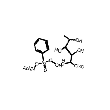 CC(=O)NO[As](=O)(OO)c1ccccc1.CC(O)C(O)C(O)C(O)C=O